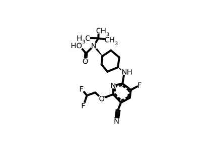 CC(C)(C)N(C(=O)O)[C@H]1CC[C@H](Nc2nc(OCC(F)F)c(C#N)cc2F)CC1